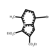 CCOC(=O)c1cc2c(Br)ccc(C)n2c1C(=O)OCC